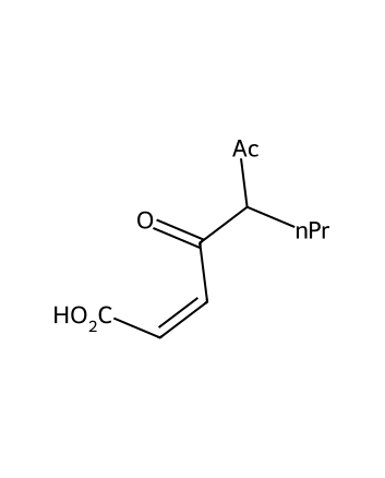 CCCC(C(C)=O)C(=O)/C=C\C(=O)O